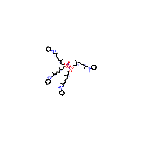 C/C(=C\COP(=O)(OC/C=C(\C)CC/C=C(\C)CNc1ccccc1)OP(=O)(OC/C=C(\C)CC/C=C(\C)CNc1ccccc1)OC/C=C(\C)CC/C=C(\C)CNc1ccccc1)CC/C=C(\C)CNc1ccccc1